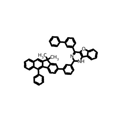 CC1(C)c2cc(-c3cccc(C4N=C(c5cccc(-c6ccccc6)c5)c5oc6ccccc6c5N4)c3)ccc2-c2c1cc1ccccc1c2-c1ccccc1